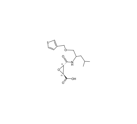 CC(C)CC(COCc1ccsc1)NC(=O)[C@H]1O[C@@H]1C(=O)O